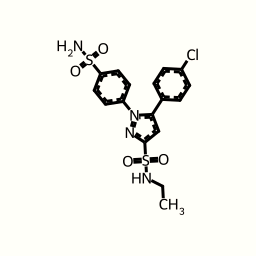 CCNS(=O)(=O)c1cc(-c2ccc(Cl)cc2)n(-c2ccc(S(N)(=O)=O)cc2)n1